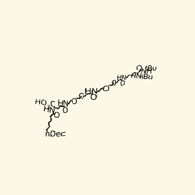 CCCCCCCCCCCCCCCC(=O)NC(CCC(=O)NCCOCCOCCC(=O)NCCOCCOCCC(=O)NCCCCC(NC(C)CC)C(=O)NC(C)(C)C)C(=O)O